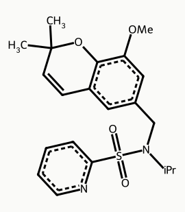 COc1cc(CN(C(C)C)S(=O)(=O)c2ccccn2)cc2c1OC(C)(C)C=C2